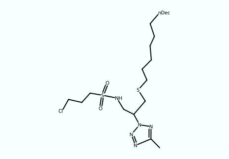 CCCCCCCCCCCCCCCCSCC(CNS(=O)(=O)CCCCl)n1nnc(C)n1